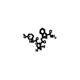 CO[C@H]1CCC[C@@H](NC(=O)[C@@H]2C[C@H]3C[C@H]3N2C(=O)Cn2nc(C(N)=O)c3ccccc32)C1